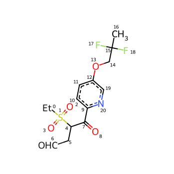 CCS(=O)(=O)C(CC=O)C(=O)c1ccc(OCC(C)(F)F)cn1